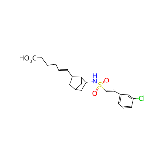 O=C(O)CCC/C=C/C1CC2CC(NS(=O)(=O)/C=C/c3cccc(Cl)c3)C1C2